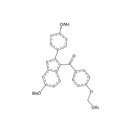 COc1ccc(-c2sc3cc(OC)ccc3c2C(=O)c2ccc(OCOC(C)=O)cc2)cc1